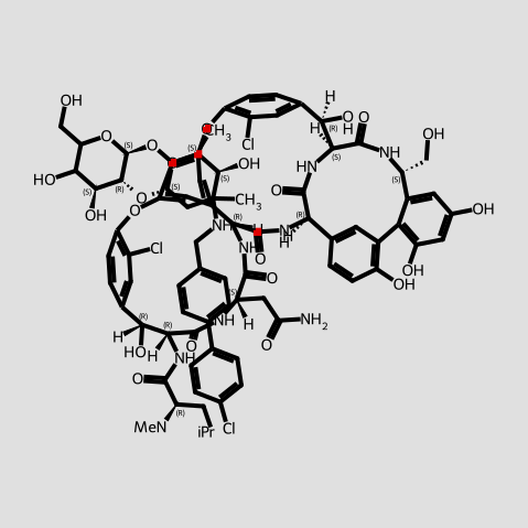 CN[C@H](CC(C)C)C(=O)N[C@H]1C(=O)N[C@@H](CC(N)=O)C(=O)N[C@H]2C(=O)N[C@H]3C(=O)N[C@H](C(=O)N[C@H](CO)c4cc(O)cc(O)c4-c4cc3ccc4O)[C@H](O)c3ccc(c(Cl)c3)Oc3cc2cc(c3O[C@@H]2OC(CO)C(O)[C@H](O)[C@H]2O[C@H]2CC(C)(NCc3ccc(-c4ccc(Cl)cc4)cc3)[C@H](O)[C@H](C)O2)Oc2ccc(cc2Cl)[C@H]1O